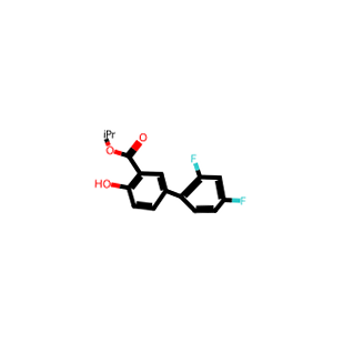 CC(C)OC(=O)c1cc(-c2ccc(F)cc2F)ccc1O